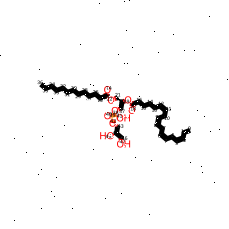 CC/C=C\C/C=C\C/C=C\C/C=C\CCCCC(=O)O[C@H](COC(=O)CCCCCCCCCCCC)COP(=O)(O)OC[C@@H](O)CO